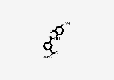 COC(=O)c1cccc(C(=O)Nc2ccc(OC)cc2C)c1